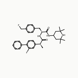 C[C@H](C(=O)N[C@@H](Cc1ccc(CF)cc1)C(=O)NC1CC(C)(C)NC(C)(C)C1)c1ccc(-c2ccccc2)c(F)c1